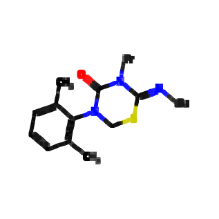 Cc1cccc(C)c1N1CSC(=NC(C)(C)C)N(C(C)C)C1=O